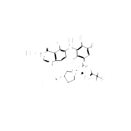 CO[C@@H]1CCN(S(=O)(=O)N(OC(=O)C(F)(F)F)c2cc(F)c(F)c(Nc3ccc4ncn(C)c(=O)c4c3Cl)c2Cl)C1